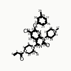 C=CC(=O)N1CCN(c2nc(=O)n(C3CCN(C)CC3)c3nc(Oc4cccc(C)c4)c(Cl)cc23)[C@@H](C)C1